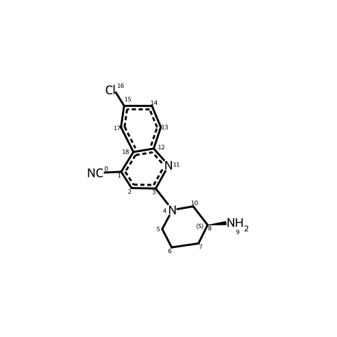 N#Cc1cc(N2CCC[C@H](N)C2)nc2ccc(Cl)cc12